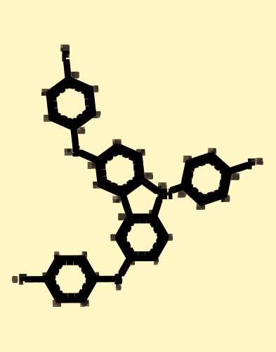 Fc1ccc(Sc2ccc3c(c2)-c2cc(Sc4ccc(F)cc4)ccc2[SH]3c2ccc(F)cc2)cc1